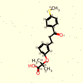 CSc1ccc(C(=O)CCc2cccc(OC(C)(C)C(=O)O)c2)cc1